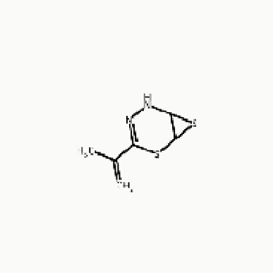 C=C(C)C1=NNC2SC2S1